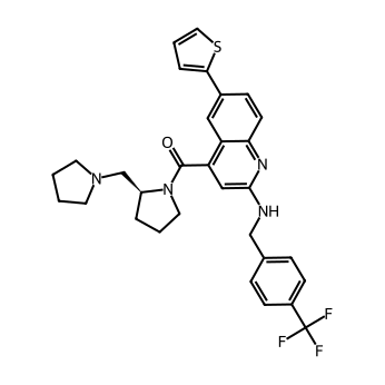 O=C(c1cc(NCc2ccc(C(F)(F)F)cc2)nc2ccc(-c3cccs3)cc12)N1CCC[C@H]1CN1CCCC1